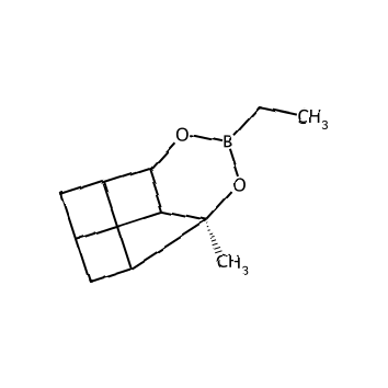 CCB1OC2C3CC4CC5C43C2[C@@]5(C)O1